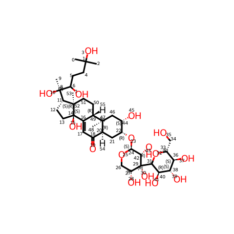 CC(C)(O)CCC(O)[C@](C)(O)[C@H]1CC[C@@]2(O)C3=CC(=O)[C@@H]4C[C@@H](O[C@@H]5OC[C@@H](O)[C@](O)(C6O[C@H](CO)[C@@H](O)[C@H](O)[C@H]6O)[C@H]5O)[C@@H](O)C[C@]4(C)[C@H]3CC[C@]12C